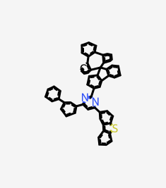 c1ccc(-c2cccc(-c3cc(-c4ccc5sc6ccccc6c5c4)nc(-c4ccc5c(c4)-c4ccccc4C54c5ccccc5-c5ccccc5-c5ccccc54)n3)c2)cc1